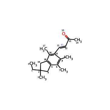 CCC1(C)Cc2c(C)c(C)c(/C=C/C(C)=O)c(C)c2C1